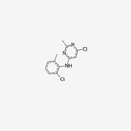 Cc1nc(Cl)cc(Nc2c(C)cccc2Cl)n1